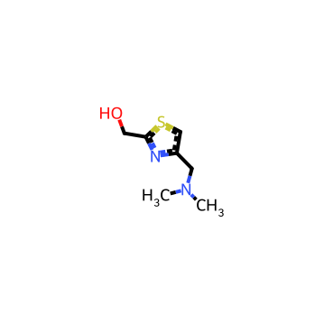 CN(C)Cc1csc(CO)n1